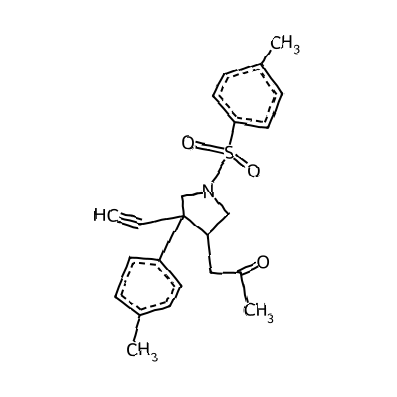 C#CC1(c2ccc(C)cc2)CN(S(=O)(=O)c2ccc(C)cc2)CC1CC(C)=O